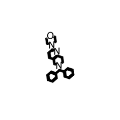 c1ccc(C(c2ccccc2)N2CCc3nc(N4CCOCC4)ccc3C2)cc1